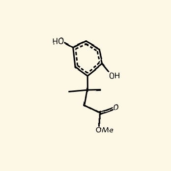 COC(=O)CC(C)(C)c1cc(O)ccc1O